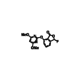 COc1cc(OC)nc(Oc2cccc3c2C(=O)OC3F)n1